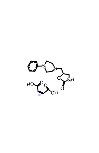 O=C(O)/C=C\C(=O)O.O=C1NCC(CN2CCN(c3ccccc3)CC2)O1